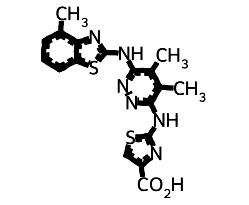 Cc1c(Nc2nc(C(=O)O)cs2)nnc(Nc2nc3c(C)cccc3s2)c1C